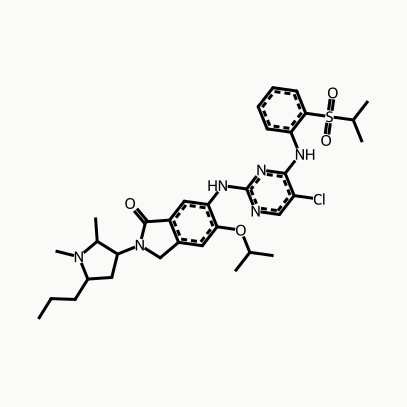 CCCC1CC(N2Cc3cc(OC(C)C)c(Nc4ncc(Cl)c(Nc5ccccc5S(=O)(=O)C(C)C)n4)cc3C2=O)C(C)N1C